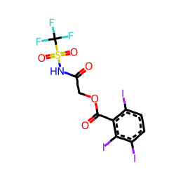 O=C(COC(=O)c1c(I)ccc(I)c1I)NS(=O)(=O)C(F)(F)F